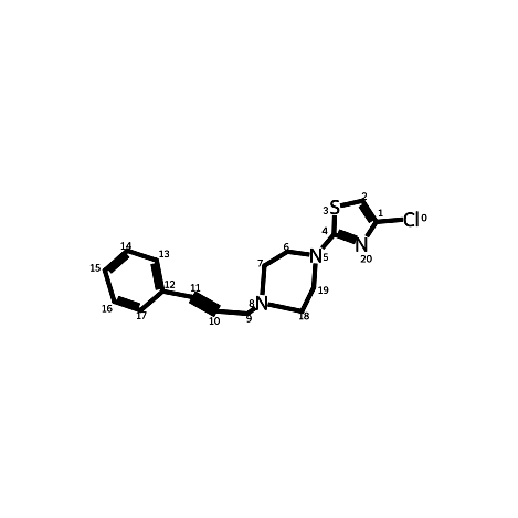 Clc1csc(N2CCN(CC#Cc3ccccc3)CC2)n1